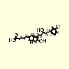 O=C(O)CCC/C=C1\C[C@@H]2C[C@@H](O)[C@H](/C=C/[C@H](O)COc3cccc(Cl)c3)[C@H]2C1